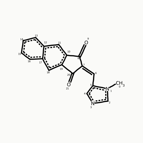 Cn1cncc1C=C1C(=O)c2cc3ccccc3cc2C1=O